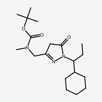 CCC(C1CCCCC1)N1N=C(CN(C)C(=O)OC(C)(C)C)CC1=O